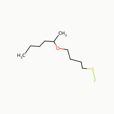 CCCCC(C)OCCCCSF